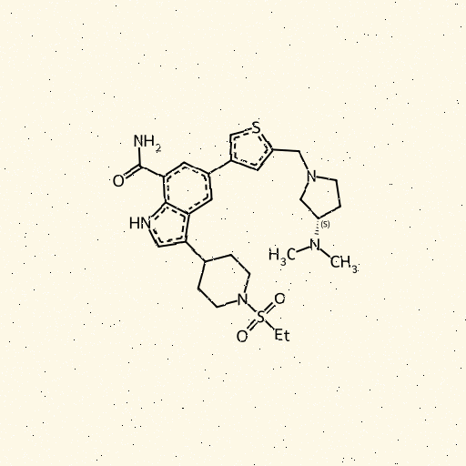 CCS(=O)(=O)N1CCC(c2c[nH]c3c(C(N)=O)cc(-c4csc(CN5CC[C@H](N(C)C)C5)c4)cc23)CC1